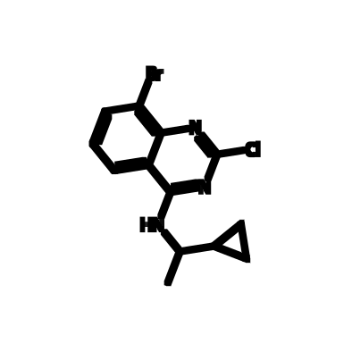 CC(Nc1nc(Cl)nc2c(Br)cccc12)C1CC1